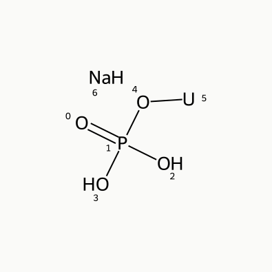 O=P(O)(O)[O][U].[NaH]